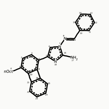 CCCCCCCCc1ccc(-c2cn(N=Cc3ccccc3)c(N)n2)c2c1-c1ccccc1-2